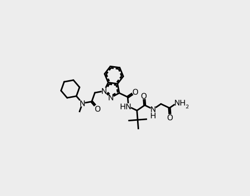 CN(C(=O)Cn1nc(C(=O)NC(C(=O)NCC(N)=O)C(C)(C)C)c2ccccc21)C1CCCCC1